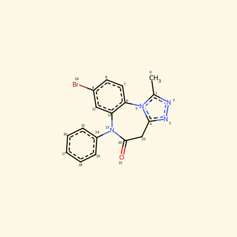 Cc1nnc2n1-c1ccc(Br)cc1N(c1ccccc1)C(=O)C2